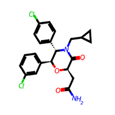 NC(=O)C[C@H]1O[C@@H](c2cccc(Cl)c2)[C@H](c2ccc(Cl)cc2)N(CC2CC2)C1=O